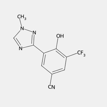 Cn1cnc(-c2cc(C#N)cc(C(F)(F)F)c2O)n1